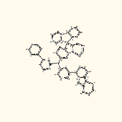 c1ccc(-c2cccc(N(c3ccc(C4(c5ccccc5)c5ccccc5-c5ccccc54)cc3)c3cccc(-c4cccc5c4oc4ccccc45)c3)c2)cc1